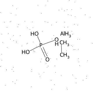 CC.O=P(O)(O)O.[AlH3]